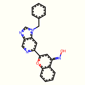 ON=c1cc(-c2cc3c(cn2)ncn3Cc2ccccc2)oc2ccccc12